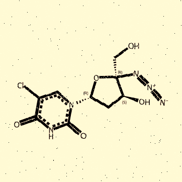 [N-]=[N+]=N[C@]1(CO)O[C@@H](n2cc(Cl)c(=O)[nH]c2=O)C[C@@H]1O